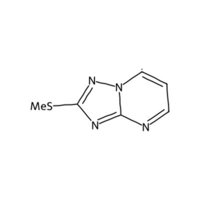 CSc1nc2ncc[c]n2n1